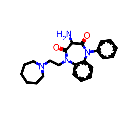 NC1C(=O)N(CCN2CCCCCC2)c2ccccc2N(c2ccccc2)C1=O